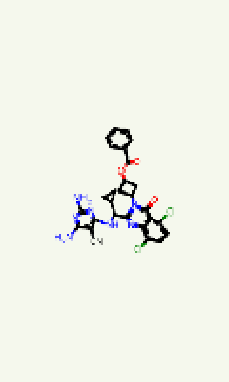 N#Cc1c(N)nc(N)nc1NC(c1nc2c(Cl)ccc(Cl)c2c(=O)n1C1CC(OC(=O)c2ccccc2)C1)C1CC1